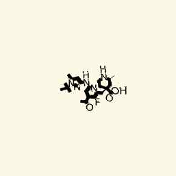 CC(=O)c1cc(Nc2cc(C)n(C(C)(C)C)n2)nc(C[C@@]2(C(=O)O)CCN[C@H](C)C2)c1F